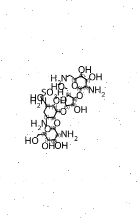 NC[C@@H]1O[C@H](O[C@H]2[C@@H](O)[C@H](O[C@@H]3[C@@H](O)[C@H](N)C[C@H](N)[C@H]3O[C@H]3O[C@H](CO)[C@@H](O)[C@H](O)[C@H]3N)O[C@@H]2CO)[C@H](N)[C@@H](O)[C@@H]1O.O=S(=O)(O)O